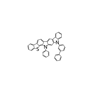 c1ccc(-c2cccc(-n3c4ccccc4c4cc5c6ccc7c8ccccc8sc7c6n(-c6ccccc6)c5cc43)c2)cc1